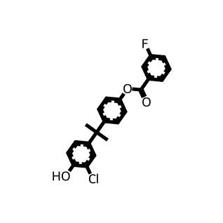 CC(C)(c1ccc(OC(=O)c2cccc(F)c2)cc1)c1ccc(O)c(Cl)c1